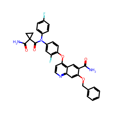 NC(=O)c1cc2c(Oc3ccc(N(C(=O)C4(C(N)=O)CC4)c4ccc(F)cc4)cc3F)ccnc2cc1OCc1ccccc1